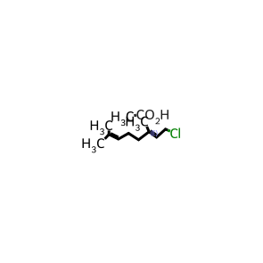 CC(=O)O.CC(C)=CCC/C(C)=C/CCl